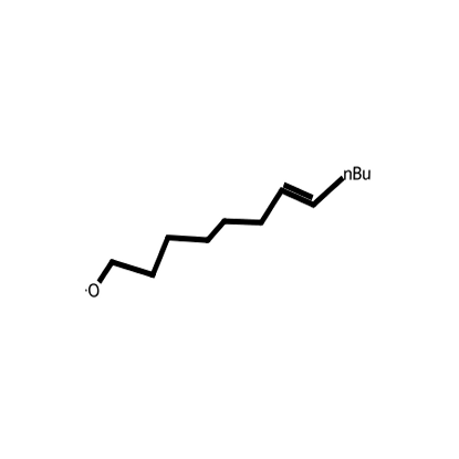 CCCCC=CCCCCCC[O]